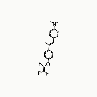 C/C(=C\c1ccc(N(C)C)cc1)c1ccc(OC(F)=C(F)F)cc1